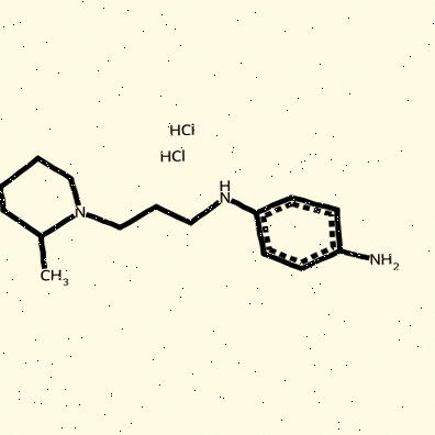 CC1CCCCN1CCCNc1ccc(N)cc1.Cl.Cl